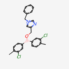 Cc1ccc(B(OCc2cn(Cc3ccccc3)cn2)c2ccc(C)c(Cl)c2)cc1Cl